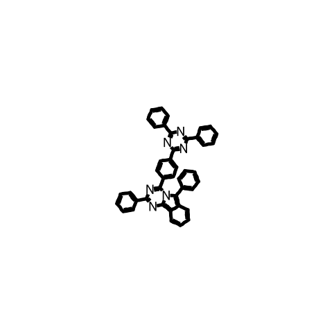 c1ccc(-c2nc(-c3ccccc3)nc(-c3ccc(-c4nc(-c5ccccc5)nc5c6ccccc6c(-c6ccccc6)n45)cc3)n2)cc1